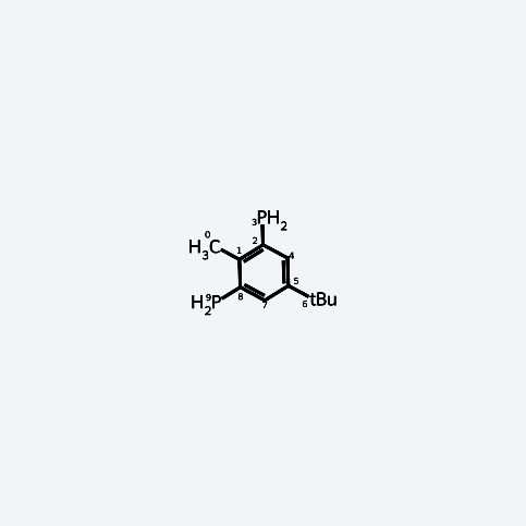 Cc1c(P)cc(C(C)(C)C)cc1P